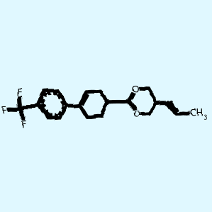 C/C=C/C1COC(C2CC=C(c3ccc(C(F)(F)F)cc3)CC2)OC1